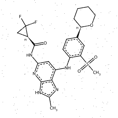 Cc1nc2c(Nc3ccc([C@H]4CCCCO4)cc3S(C)(=O)=O)cc(NC(=O)[C@H]3CC3(F)F)nc2[nH]1